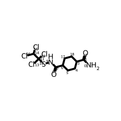 NC(=O)C1CCC(C(=O)NSC(Cl)(Cl)C(Cl)Cl)CC1